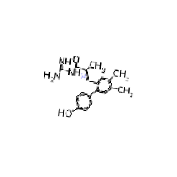 C/C(=C\c1cc(C)c(C)cc1-c1ccc(O)cc1)C(=O)NC(=N)N